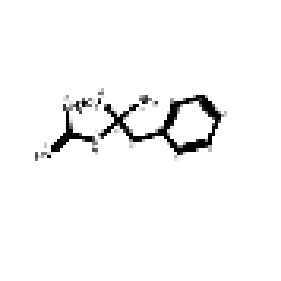 N=C(N)NC(N)(Cc1ccccc1)C(=O)O